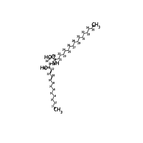 CCCCCCCCC/C=C/C=C/[C@@H](O)[C@H](CO)NC(=O)CCCCCCCCCCCCCCCC